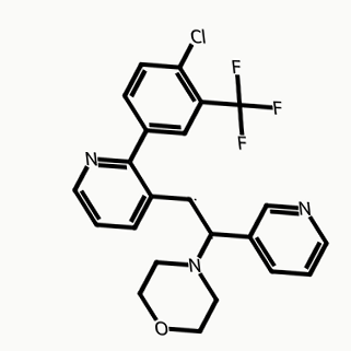 FC(F)(F)c1cc(-c2ncccc2[CH][C](c2cccnc2)N2CCOCC2)ccc1Cl